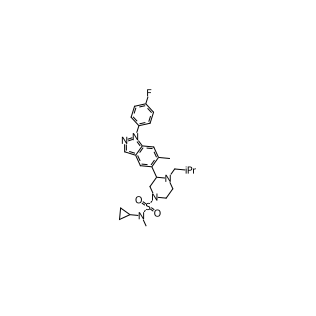 Cc1cc2c(cnn2-c2ccc(F)cc2)cc1C1CN(S(=O)(=O)N(C)C2CC2)CCN1CC(C)C